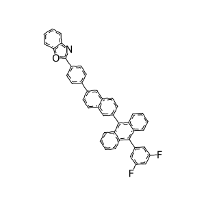 Fc1cc(F)cc(-c2c3ccccc3c(-c3ccc4cc(-c5ccc(-c6nc7ccccc7o6)cc5)ccc4c3)c3ccccc23)c1